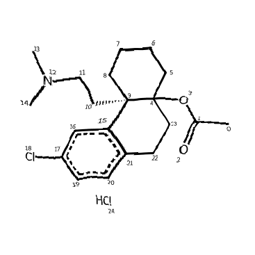 CC(=O)OC12CCCC[C@]1(CCN(C)C)c1cc(Cl)ccc1CC2.Cl